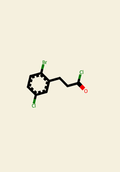 O=C(Cl)CCc1cc(Cl)ccc1Br